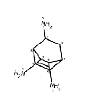 NC1CC2C=CC1C(N)C2N